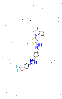 Cc1ccc(C(C)C)c(N2/C(=N/C(=S)N/N=C/c3ccc(-c4ncn(-c5ccc(OC(F)(F)F)cc5)n4)cc3)SCC2C)c1